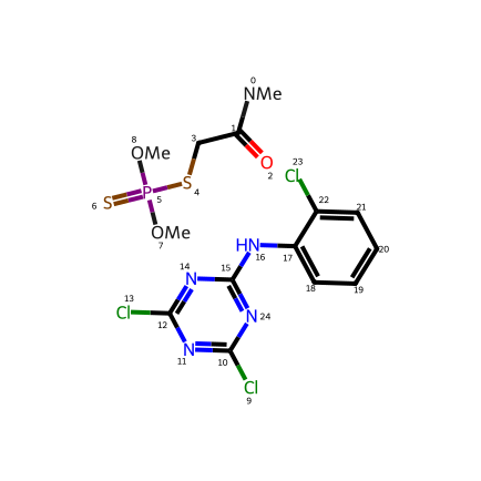 CNC(=O)CSP(=S)(OC)OC.Clc1nc(Cl)nc(Nc2ccccc2Cl)n1